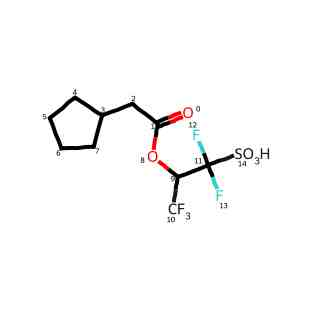 O=C(CC1CCCC1)OC(C(F)(F)F)C(F)(F)S(=O)(=O)O